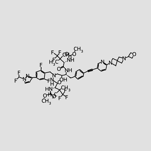 COC(=O)N[C@H](C(=O)N[C@@H](Cc1ccc(C#Cc2ccc(N3CC4(C3)CN(C3COC3)C4)nc2)cc1)[C@@H](O)CN(Cc1c(F)cc(-c2ccn(C(F)F)n2)cc1F)NC(=O)[C@@H](NC(=O)OC)C(C)(C)C(F)(F)F)C(C)(C)C(F)(F)F